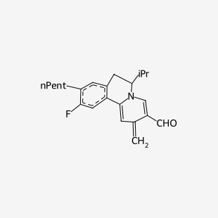 C=C1C=C2c3cc(F)c(CCCCC)cc3CC(C(C)C)N2C=C1C=O